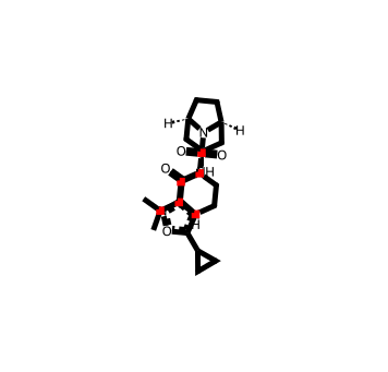 CC(C)C1CN(S(=O)(=O)N2[C@@H]3CC[C@H]2C[C@@H](NC(=O)c2cc(C4CC4)on2)C3)CCN1